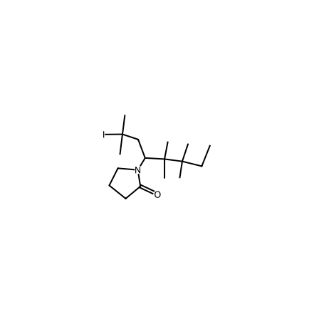 CCC(C)(C)C(C)(C)C(CC(C)(C)I)N1CCCC1=O